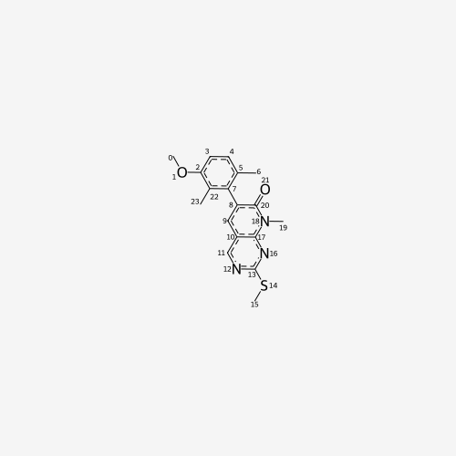 COc1ccc(C)c(-c2cc3cnc(SC)nc3n(C)c2=O)c1C